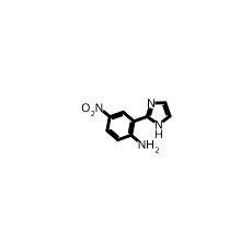 Nc1ccc([N+](=O)[O-])cc1-c1ncc[nH]1